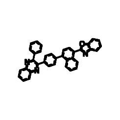 c1ccc(-c2nc3ccccc3nc2-c2ccc(-c3ccc(-c4nc5ccccc5o4)c4ccccc34)cc2)cc1